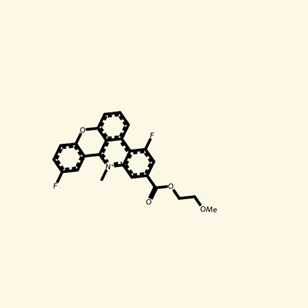 COCCOC(=O)c1cc(F)c2c3cccc4c3c([n+](C)c2c1)-c1cc(F)ccc1O4